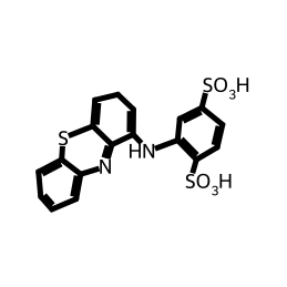 O=S(=O)(O)c1ccc(S(=O)(=O)O)c(NC2=CCC=C3Sc4ccccc4N=C23)c1